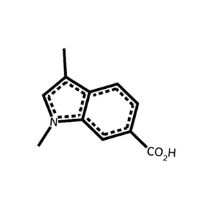 Cc1cn(C)c2cc(C(=O)O)ccc12